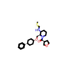 CSCN[C@H]1CCCN(C(=O)[C@H]2CCOC2)[C@H]1CO[C@H]1CC[C@@H](c2ccccc2)CC1